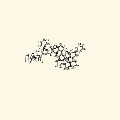 C[Si](C)(C)c1ccc(N(c2ccccc2)c2ccc3c(c2)Oc2cccc4c2c-3cc2ccc(N(c3ccccc3-c3ccccc3)c3c(F)cc(-c5ccccc5)cc3-c3ccccc3)cc24)cc1